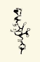 Cc1nnc(SCC2=C(C(=O)[O-])N3C(=O)C(NC(=O)Cn4cnnn4)[C@@H]3SC2)s1.[Na+]